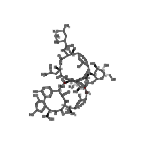 CNC(CC(C)C)C(=O)NC1C(=O)N[C@@H](CC(N)=O)C(=O)N[C@H]2C(=O)N[C@H]3C(=O)N[C@H](C(=O)N[C@@H](C(=O)O)c4cc(O)cc(O)c4-c4cc3ccc4O)[C@@](C)(O)c3ccc(c(Cl)c3)Oc3cc2cc(c3OC2O[C@@H](CO)[C@@H](O)[C@H](O)[C@@H]2O[C@@H]2C[C@](C)(N)[C@H](O)[C@@H](C)O2)Oc2ccc(cc2Cl)[C@H]1O